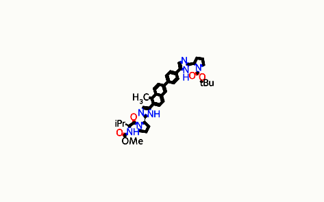 COC(=O)N[C@H](C(=O)N1CCC[C@H]1c1ncc(C2=CC=C3C=C(c4ccc(-c5cnc(C6CCCN6C(=O)OC(C)(C)C)[nH]5)cc4)C=CC3C2C)[nH]1)C(C)C